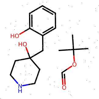 CC(C)(C)OC=O.Oc1ccccc1CC1(O)CCNCC1